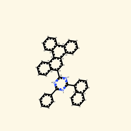 c1ccc(-c2nc(-c3cccc4ccccc34)nc(-c3cc4c5ccccc5c5ccccc5c4c4ccccc34)n2)cc1